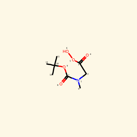 CN(CC(=O)OO)C(=O)OC(C)(C)C